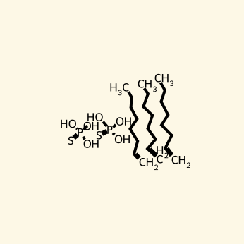 C=CCCCCCC.C=CCCCCCC.C=CCCCCCC.OP(O)(O)=S.OP(O)(O)=S